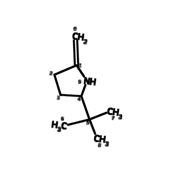 C=C1CCC(C(C)(C)C)N1